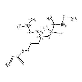 C=CC(=O)OCCC[SiH](O[Si](C)(CCC)N(C)[SiH2]O[SiH3])[SiH2]O[SiH](C)C